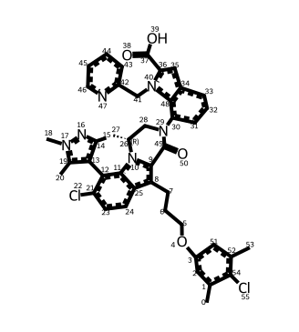 Cc1cc(OCCCc2c3n(c4c(-c5c(C)nn(C)c5C)c(Cl)ccc24)[C@H](C)CN(c2cccc4cc(C(=O)O)n(Cc5ccccn5)c24)C3=O)cc(C)c1Cl